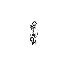 O=S(=O)(NCCOS(=O)(=O)c1ccccc1)c1cccc(C(F)(F)F)c1